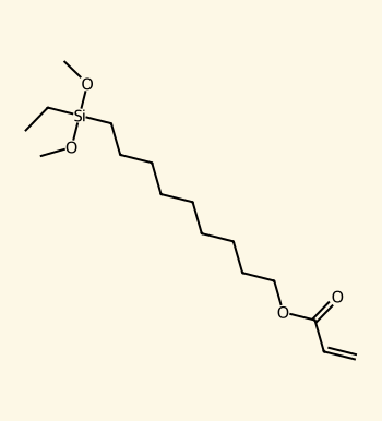 C=CC(=O)OCCCCCCCCC[Si](CC)(OC)OC